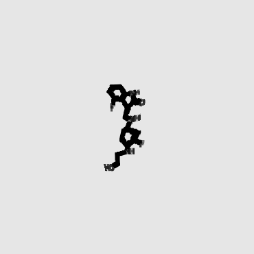 O=C1Nc2cccc(F)c2C1=CNc1ccc(NCCO)c(F)c1